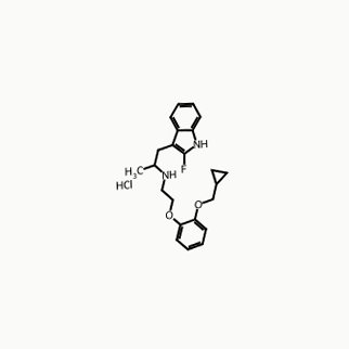 CC(Cc1c(F)[nH]c2ccccc12)NCCOc1ccccc1OCC1CC1.Cl